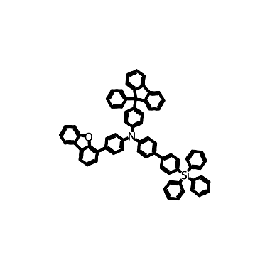 c1ccc(C2(c3ccc(N(c4ccc(-c5ccc([Si](c6ccccc6)(c6ccccc6)c6ccccc6)cc5)cc4)c4ccc(-c5cccc6c5oc5ccccc56)cc4)cc3)c3ccccc3-c3ccccc32)cc1